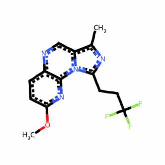 COc1ccc2n[c]c3c(C)nc(CCC(F)(F)F)n3c2n1